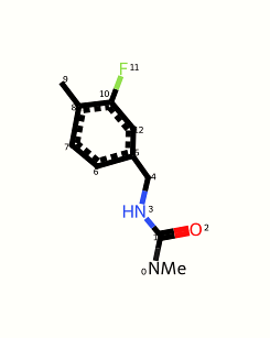 CNC(=O)NCc1ccc(C)c(F)c1